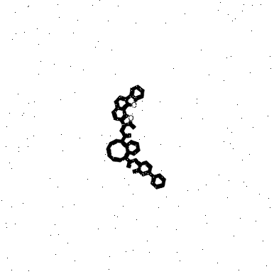 C=C(/C=c1/ccc(-c2ccccc2)cc1=C)c1ccccccc(C(=C)/C=c2\c(=C)oc3c2ccc2ccc4c5ccccc5oc4c23)c2ccccc12